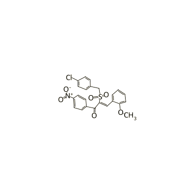 COc1ccccc1C=C(C(=O)c1ccc([N+](=O)[O-])cc1)S(=O)(=O)Cc1ccc(Cl)cc1